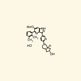 COc1cc2[nH]nc(-c3ccc(N4CCN5C[C@H](O)C[C@H]5C4)nc3)c2nc1-c1cccc(C)c1C.Cl